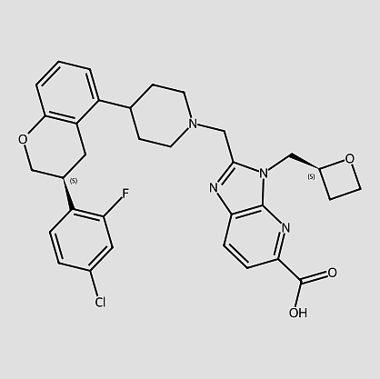 O=C(O)c1ccc2nc(CN3CCC(c4cccc5c4C[C@@H](c4ccc(Cl)cc4F)CO5)CC3)n(C[C@@H]3CCO3)c2n1